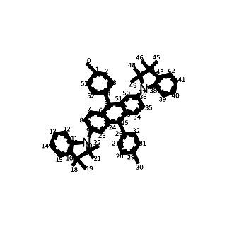 Cc1ccc(-c2c3ccc(N4c5ccccc5C(C)(C)C4(C)C)cc3c(-c3ccc(C)cc3)c3ccc(N4c5ccccc5C(C)(C)C4(C)C)cc23)cc1